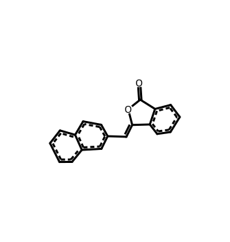 O=C1O/C(=C\c2ccc3ccccc3c2)c2ccccc21